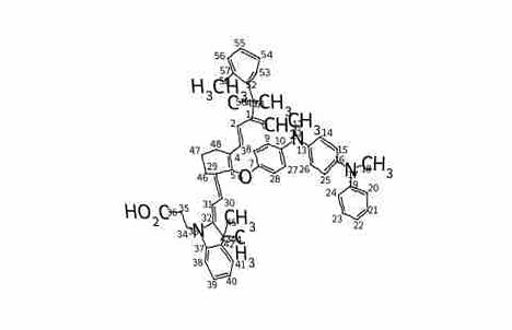 C=C(/C=C/C1=C(Oc2ccc(N(C)c3ccc(N(C)c4ccccc4)cc3)cc2)C(=C/C=C2/N(CCC(=O)O)c3ccccc3C2(C)C)/CCC1)C(C)(C)c1ccccc1C